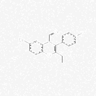 CCC1=C(c2ccc(F)cc2)C(C=O)c2cc(Br)ccc2O1